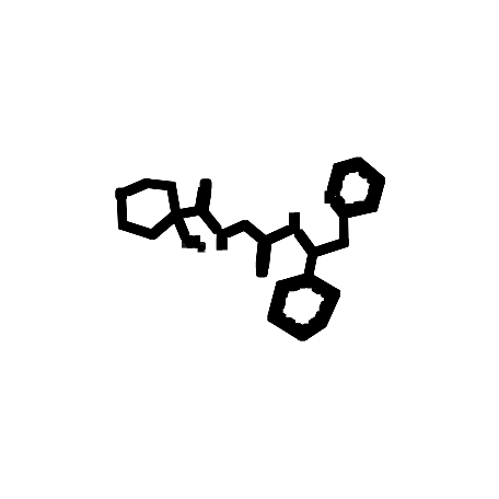 NC1(C(=O)NCC(=O)NC(Cc2ccccn2)c2ccccc2)CCOCC1